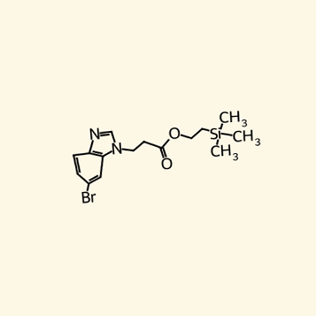 C[Si](C)(C)CCOC(=O)CCn1cnc2ccc(Br)cc21